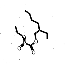 CCCCC(CC)COC(=O)[PH](=O)OCC